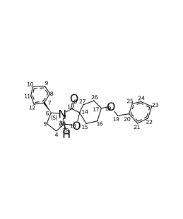 O=C1N2[C@@H](CC[C@H]2c2ccccc2)OC12CCC(OCc1ccccc1)CC2